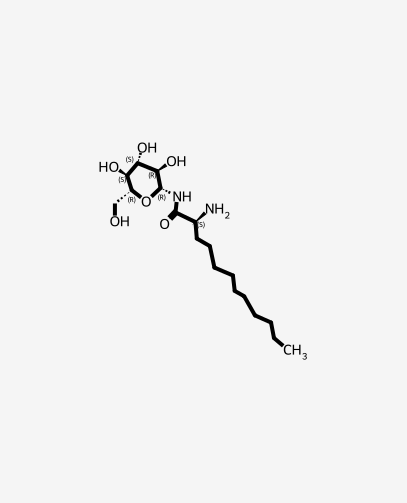 CCCCCCCCCC[C@H](N)C(=O)N[C@@H]1O[C@H](CO)[C@@H](O)[C@H](O)[C@H]1O